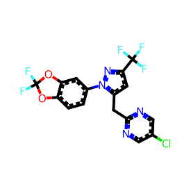 FC1(F)Oc2ccc(-n3nc(C(F)(F)F)cc3Cc3ncc(Cl)cn3)cc2O1